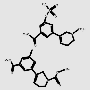 COC(=O)c1cc(C)cc(C2=CCCN(C(=O)OC(C)(C)C)C2)c1.COC(=O)c1cc(OS(=O)(=O)C(F)(F)F)cc(C2=CCCN(C(=O)O)C2)c1